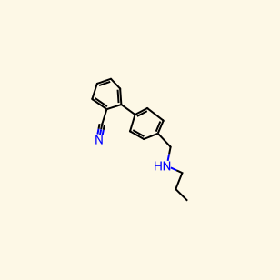 CCCNCc1ccc(-c2ccccc2C#N)cc1